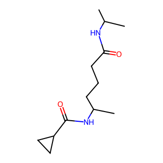 CC(C)NC(=O)CCCC(C)NC(=O)C1CC1